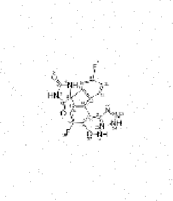 O=C1NC(=O)C2(N1)c1cc(F)ccc1-c1c2cc(F)c2c1-c1nn[nH][n+]1NO2